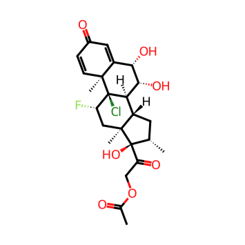 CC(=O)OCC(=O)[C@@]1(O)[C@@H](C)C[C@H]2[C@@H]3[C@@H](O)[C@@H](O)C4=CC(=O)C=C[C@]4(C)[C@@]3(Cl)[C@@H](F)C[C@@]21C